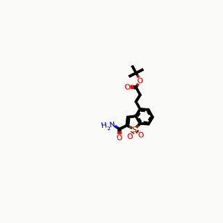 CC(C)(C)OC(=O)CCc1cccc2c1C=C(C(N)=O)S2(=O)=O